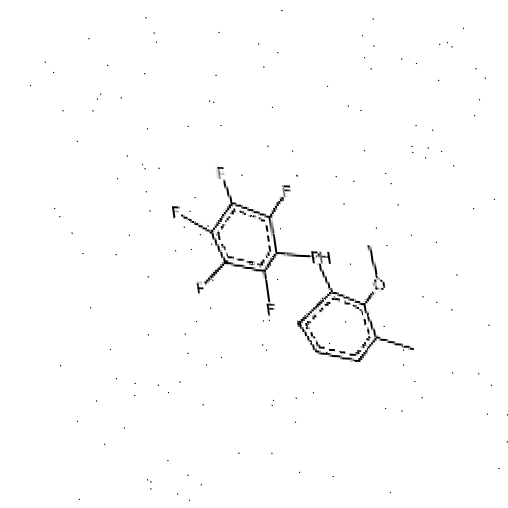 COc1c(C)cccc1Pc1c(F)c(F)c(F)c(F)c1F